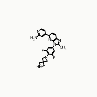 Cc1nc2ccc(-c3ccnc(N)c3)nc2n1-c1cc(F)c(N2CC3(CNC3)C2)c(F)c1